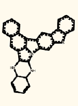 C1=CC2Nc3c(n4c5cc6sc7ccccc7c6cc5c5c6ccccc6cc3c54)NC2C=C1